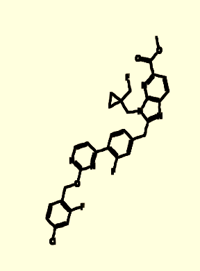 COC(=O)c1ccc2nc(Cc3ccc(-c4ccnc(OCc5ccc(Cl)cc5F)n4)c(F)c3)n(CC3(CF)CC3)c2n1